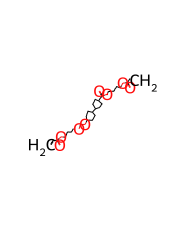 C=CC(=O)OCCCCOCOC1CCC(C2CCC(C(=O)OCCCCOC(=O)C=C)CC2)CC1